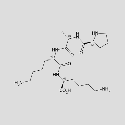 C[C@H](NC(=O)[C@@H]1CCCN1)C(=O)N[C@@H](CCCCN)C(=O)N[C@@H](CCCCN)C(=O)O